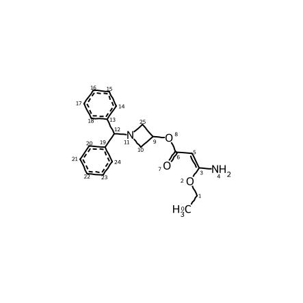 CCOC(N)=CC(=O)OC1CN(C(c2ccccc2)c2ccccc2)C1